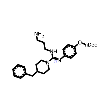 CCCCCCCCCCOc1ccc(/N=C(\NCCCN)N2CCC(Cc3ccccc3)CC2)cc1